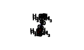 C[Si](C)(C)C([SiH3])(CCOC(=O)/C=C/C(=O)OCCC([SiH3])(C1CCCCO1)[Si](C)(C)C)C1CCCCO1